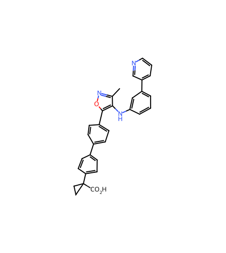 Cc1noc(-c2ccc(-c3ccc(C4(C(=O)O)CC4)cc3)cc2)c1Nc1cccc(-c2cccnc2)c1